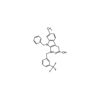 Cc1ccc2c(CC(=O)O)c(NCc3cccc(C(F)(F)F)c3)n(Cc3ccccc3)c2c1